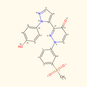 CS(=O)(=O)c1cccc(-n2ccc(=O)c(-c3ccnn3-c3ccc(O)cc3)n2)c1